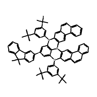 CC(C)(C)c1cc(N2c3cc4ccc5ccccc5c4cc3B3c4cc5c(ccc6ccccc65)cc4N(c4cc(C(C)(C)C)cc(C(C)(C)C)c4)c4cc(-c5ccc6c(c5)-c5ccccc5C6(C)C)cc2c43)cc(C(C)(C)C)c1